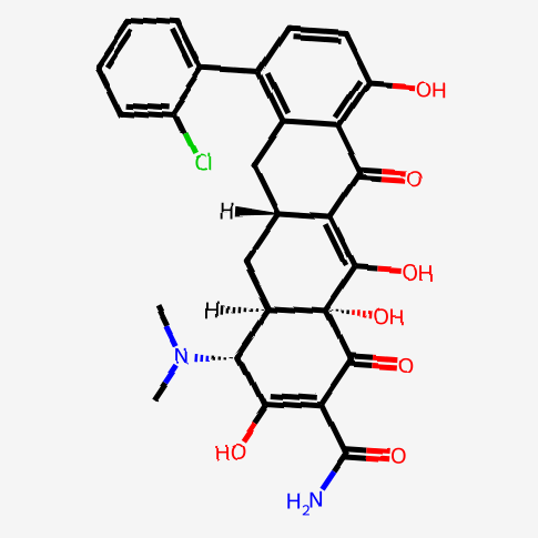 CN(C)[C@H]1C(O)=C(C(N)=O)C(=O)[C@]2(O)C(O)=C3C(=O)c4c(O)ccc(-c5ccccc5Cl)c4C[C@H]3C[C@H]12